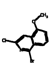 COc1cccc2c(Br)nc(Cl)cc12